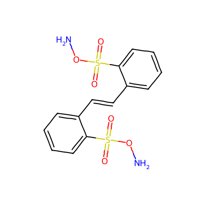 NOS(=O)(=O)c1ccccc1C=Cc1ccccc1S(=O)(=O)ON